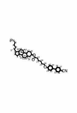 CC(C)CCC[C@@H](C)C1CC[C@@]2(C)[C@]3(C)CC[C@@]4(C)CC(OC(=O)CCCCCOc5ccc(-c6ccc(C#N)cc6)cc5)CC[C@]4(C)[C@@]3(C)CC[C@]12C